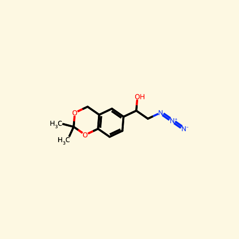 CC1(C)OCc2cc(C(O)CN=[N+]=[N-])ccc2O1